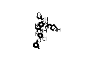 N#Cc1cnc2cc(OC3CCOC3)c(NC(=O)C=C3CCNCC3)cc2c1Nc1ccc(OCc2cccc(F)c2)c(Cl)c1